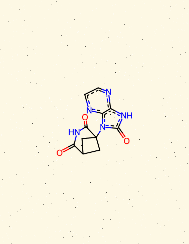 O=C1NC(=O)C2(n3c(=O)[nH]c4nccnc43)CC1C2